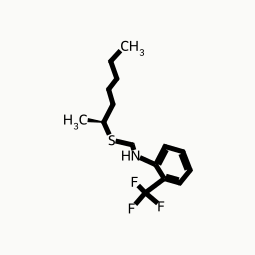 CCCCC[C@H](C)SCNc1ccccc1C(F)(F)F